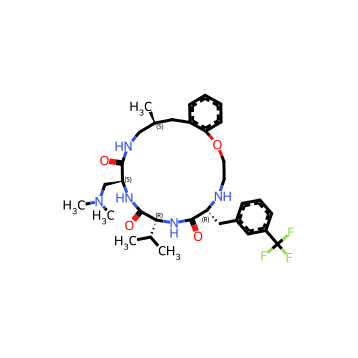 CC(C)[C@H]1NC(=O)[C@@H](Cc2cccc(C(F)(F)F)c2)NCCOc2ccccc2C[C@H](C)CNC(=O)[C@H](CN(C)C)NC1=O